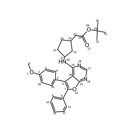 COc1ccc(-c2c(-c3ccccc3)oc3ncnc(NC4CCC(CC(=O)OC(C)(C)C)C4)c23)cc1